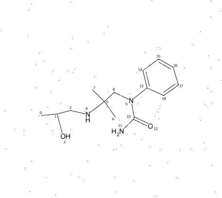 [CH2]C(O)CNC(C)(C)CN(C(N)=O)c1ccccc1